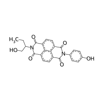 CCC(CO)N1C(=O)c2ccc3c4c(ccc(c24)C1=O)C(=O)N(c1ccc(O)cc1)C3=O